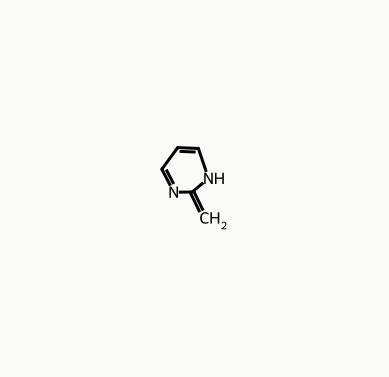 C=C1N=CC=CN1